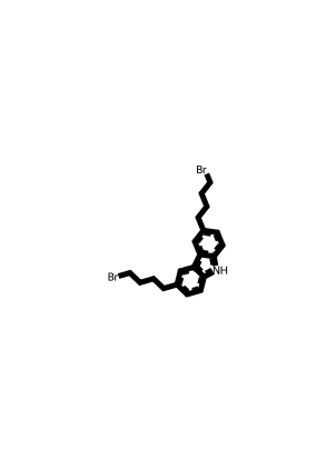 BrCCCCc1ccc2[nH]c3ccc(CCCCBr)cc3c2c1